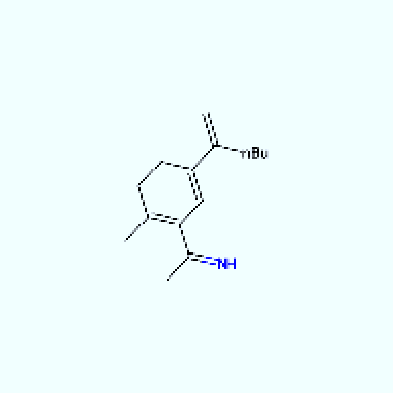 C=C(CCCC)C1=CC(C(C)=N)=C(C)CC1